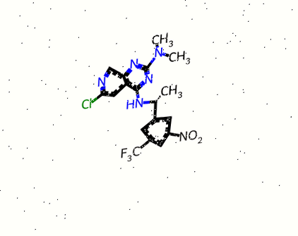 C[C@@H](Nc1nc(N(C)C)nc2cnc(Cl)cc12)c1cc([N+](=O)[O-])cc(C(F)(F)F)c1